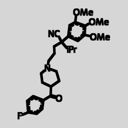 COc1cc(C(C#N)(CCCN2CCC(C(=O)c3ccc(F)cc3)CC2)C(C)C)cc(OC)c1OC